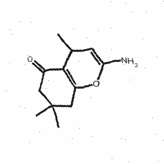 CC1C=C(N)OC2=C1C(=O)CC(C)(C)C2